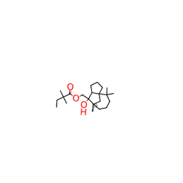 CCC(C)(C)C(=O)OCC1(O)C2CCCC23C[C@]1(C)CCCC3(C)C